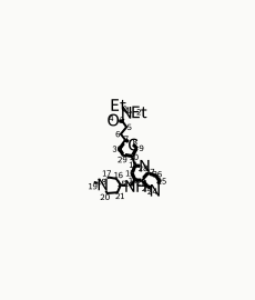 CCN(CC)C(=O)CCc1ccc(-c2cc(NC3CCN(C)CC3)c3cnccc3n2)cc1